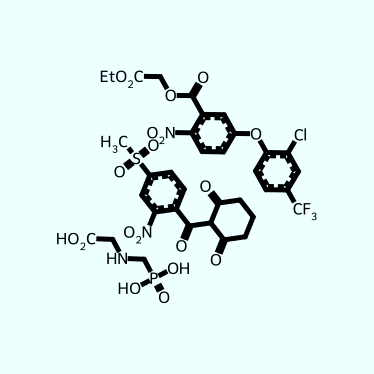 CCOC(=O)COC(=O)c1cc(Oc2ccc(C(F)(F)F)cc2Cl)ccc1[N+](=O)[O-].CS(=O)(=O)c1ccc(C(=O)C2C(=O)CCCC2=O)c([N+](=O)[O-])c1.O=C(O)CNCP(=O)(O)O